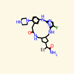 CCC(C(N)=O)C1CC2CNC(=O)Cc3cc(ccc3N3CCNCC3)Nc3ncc(F)c(n3)NCC2C1